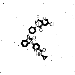 O=C(NC1CC1)c1ccc(-n2c(=O)n(C[C@H]3CC[C@H](NC(=O)c4cc(Cl)cnc4C(F)F)CC3)c3ccccc32)cn1